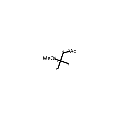 COC(C)(C)CC(C)=O